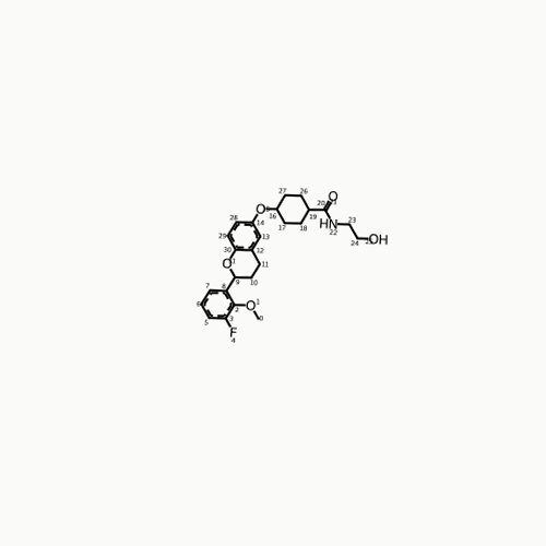 COc1c(F)cccc1C1CCc2cc(OC3CCC(C(=O)NCCO)CC3)ccc2O1